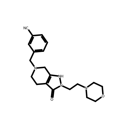 N#Cc1cccc(CN2CCc3c([nH]n(CCN4CCOCC4)c3=O)C2)c1